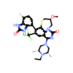 CCN1[C@H](C)CN(c2nc(=O)n3c4c(c(-c5ccc(F)c6[nH]c(=O)[nH]c56)c(C(F)(F)F)cc24)SC[C@@H](OC)C3)C[C@@H]1C